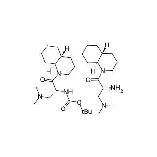 CN(C)C[C@@H](N)C(=O)N1CCC[C@H]2CCCC[C@@H]21.CN(C)C[C@@H](NC(=O)OC(C)(C)C)C(=O)N1CCC[C@H]2CCCC[C@@H]21